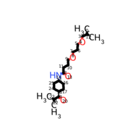 CC(C)COCCCOCCCC(=O)N[C@H]1CC[C@@H](C(=O)C(C)C)CC1